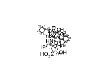 CCCC[C@@H](C(=O)N[C@@H](CC(C)C)C(O)CC(CCO)C(=O)O)N(C(=O)[C@H](C)NC(=O)OCc1ccccc1)c1cccc2ccccc12